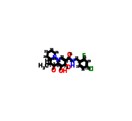 CC1C(=O)c2c(O)c(=O)c(C(=O)NCc3ccc(Cl)cc3F)cn2N2CCCC[C@@H]12